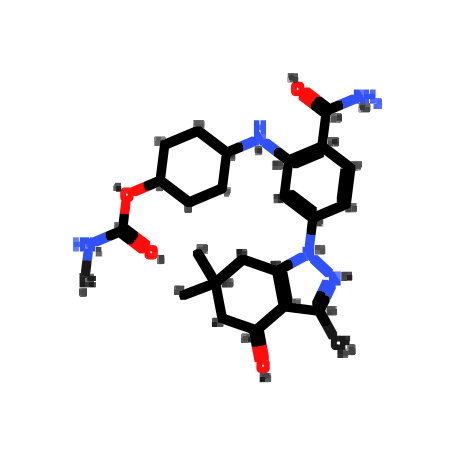 [CH2]CNC(=O)OC1CCC(Nc2cc(-n3nc(C(F)(F)F)c4c3CC(C)(C)CC4=O)ccc2C(N)=O)CC1